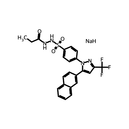 CCC(=O)NNS(=O)(=O)c1ccc(-n2nc(C(F)(F)F)cc2-c2ccc3ccccc3c2)cc1.[NaH]